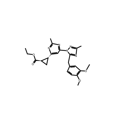 CCOC(=O)[C@@H]1C[C@H]1c1cc(-n2nc(C)nc2Cc2ccc(OC)c(OC)c2)nc(C)n1